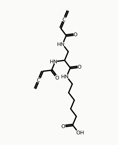 C=C=CC(=O)NCC(NC(=O)C=C=C)C(=O)NCCCCCC(=O)O